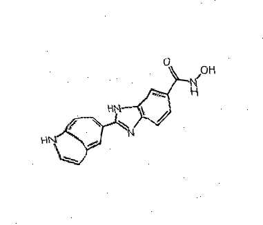 O=C(NO)c1ccc2nc(-c3ccc4[nH]ccc4c3)[nH]c2c1